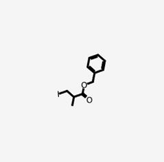 CC(CI)C(=O)OCc1ccccc1